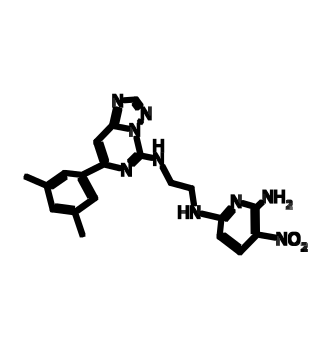 Cc1cc(C)cc(-c2cc3ncnn3c(NCCNc3ccc([N+](=O)[O-])c(N)n3)n2)c1